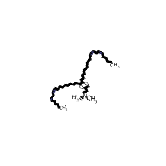 CCCCC/C=C\C/C=C\CCCCCCCCC1OCC(CCN(C)C)OC1CCCCCCCC/C=C\C/C=C\CCCCC